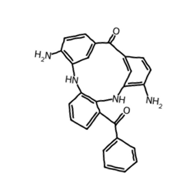 Nc1ccc2cc1Nc1cccc(C(=O)c3ccccc3)c1Nc1cc(ccc1N)C2=O